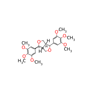 COc1cc(C2OC[C@@H]3[C@@H](c4cc(OC)c(OC)c(OC)c4)OC[C@H]23)cc(OC)c1OC